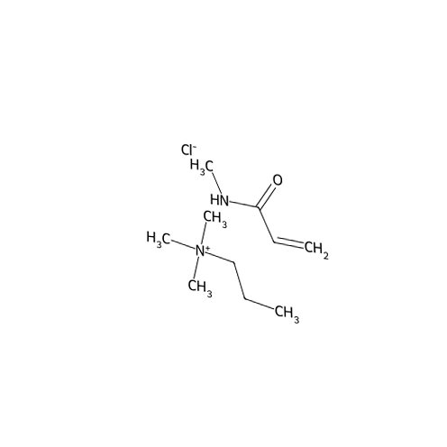 C=CC(=O)NC.CCC[N+](C)(C)C.[Cl-]